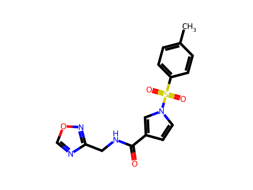 Cc1ccc(S(=O)(=O)n2ccc(C(=O)NCc3ncon3)c2)cc1